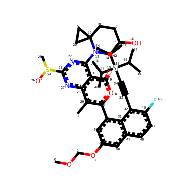 COCOc1cc(-c2oc(=O)c3c(N4CC(O)CCC45CC5)nc([S+](C)[O-])nc3c2C)c2c(C#C[Si](C(C)C)(C(C)C)C(C)C)c(F)ccc2c1